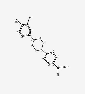 Cc1cc(N2CCN(c3ccc([N+](=O)[O-])cc3)CC2)ccc1O